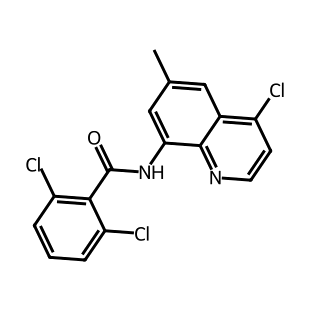 Cc1cc(NC(=O)c2c(Cl)cccc2Cl)c2nccc(Cl)c2c1